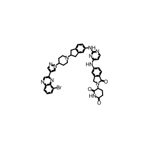 O=C1CCC(N2Cc3cc(Nc4ccnc(Nc5ccc6c(c5)CC(N5CCC(n7cc(-c8cnc9cccc(Br)c9n8)cn7)CC5)C6)n4)ccc3C2=O)C(=O)N1